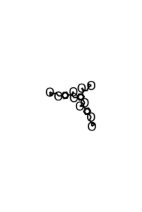 O=C(CC1CO1)c1cc(OC(=O)c2ccc(OCC3CO3)cc2)cc(OC(=O)c2ccc(OCC3CO3)cc2)c1